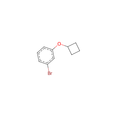 Brc1cccc(OC2CCC2)c1